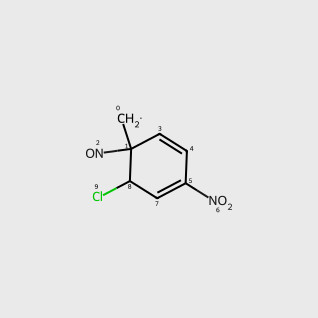 [CH2]C1(N=O)C=CC([N+](=O)[O-])=CC1Cl